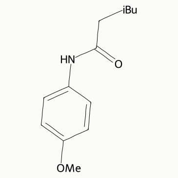 CCC(C)CC(=O)Nc1ccc(OC)cc1